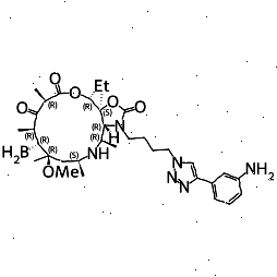 B[C@@H]1[C@@H](C)C(=O)[C@@H](C)C(=O)O[C@H](CC)[C@@]2(C)OC(=O)N(CCCCn3cc(-c4cccc(N)c4)nn3)[C@@H]2[C@@H](C)N[C@@H](C)C[C@@]1(C)OC